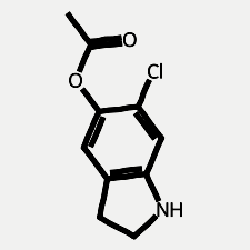 CC(=O)Oc1cc2c(cc1Cl)NCC2